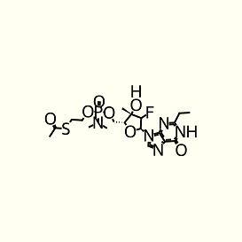 CCc1nc2c(ncn2[C@H]2O[C@H](COP(=O)(OCCSC(C)=O)N(C)C)[C@](C)(O)C2F)c(=O)[nH]1